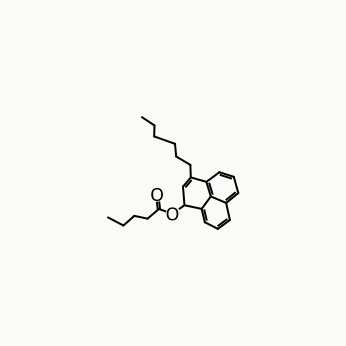 CCCCCCC1=CC(OC(=O)CCCC)c2cccc3cccc1c23